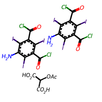 CC(=O)OC(C(=O)O)C(=O)O.Nc1c(I)c(C(=O)Cl)c(I)c(C(=O)Cl)c1I.Nc1c(I)c(C(=O)Cl)c(I)c(C(=O)Cl)c1I